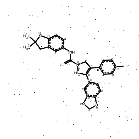 CC1(C)Cc2cc(NC(=O)N3CC(c4ccc(F)cc4)=C(c4ccc5c(c4)OCO5)N3)ccc2O1